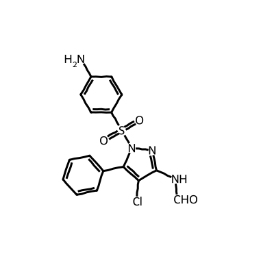 Nc1ccc(S(=O)(=O)n2nc(NC=O)c(Cl)c2-c2ccccc2)cc1